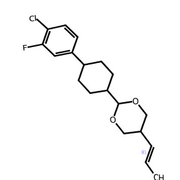 C/C=C/C1COC(C2CCC(c3ccc(Cl)c(F)c3)CC2)OC1